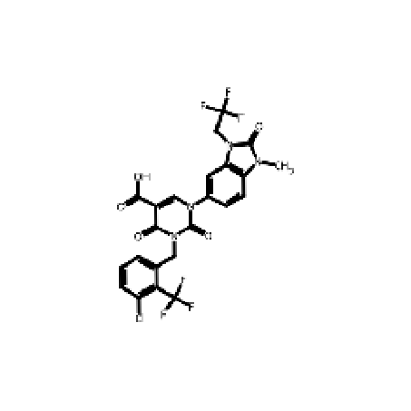 Cn1c(=O)n(CC(F)(F)F)c2cc(-n3cc(C(=O)O)c(=O)n(Cc4cccc(Cl)c4C(F)(F)F)c3=O)ccc21